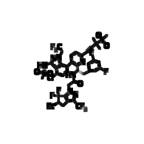 CC[C@@H]1Cc2c(C(F)(F)F)nn(CC(=O)N[C@@H](Cc3cc(F)cc(F)c3)c3nc(C#CC(C)(C)S(C)(=O)=O)ccc3-c3ccc(Cl)c4c(NS(C)(=O)=O)nn(CC(F)(F)F)c34)c2C1(F)F